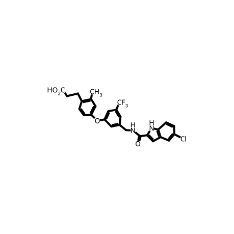 Cc1cc(Oc2cc(CNC(=O)c3cc4cc(Cl)ccc4[nH]3)cc(C(F)(F)F)c2)ccc1CCC(=O)O